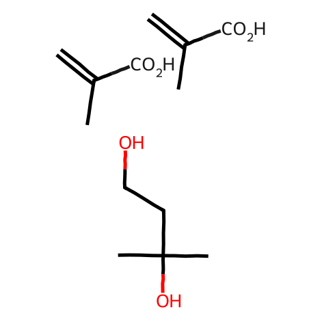 C=C(C)C(=O)O.C=C(C)C(=O)O.CC(C)(O)CCO